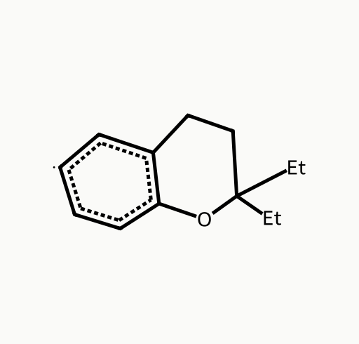 CCC1(CC)CCc2c[c]ccc2O1